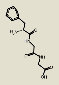 N[C@H](Cc1ccccc1)C(=O)NCC(=O)NCC(=O)O